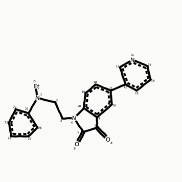 CCN(CCN1C(=O)C(=O)c2cc(-c3cccnc3)ccc21)c1ccccc1